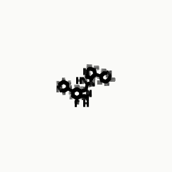 Fc1cc(-c2cccnc2)cc2c(-c3nc4c(-c5cccnc5)ccnc4[nH]3)n[nH]c12